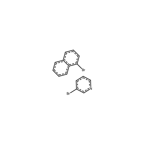 Brc1cccc2ccccc12.Brc1cccnc1